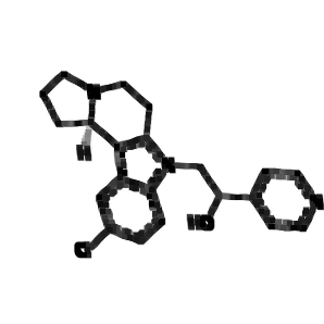 OC(Cn1c2c(c3cc(Cl)ccc31)[C@H]1CCCN1CC2)c1ccncc1